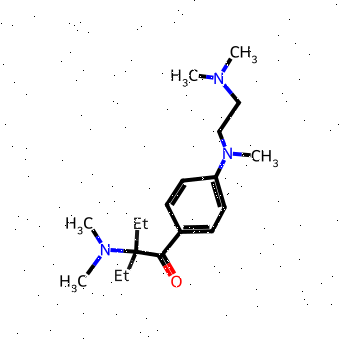 CCC(CC)(C(=O)c1ccc(N(C)CCN(C)C)cc1)N(C)C